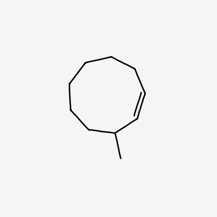 CC1C=CCCCCCC1